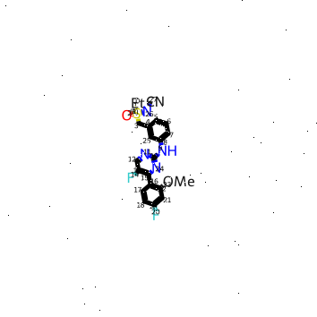 CC[S@@](=O)(Cc1cccc(Nc2ncc(F)c(-c3ccc(F)cc3OC)n2)c1)=NC#N